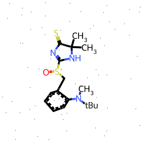 CN(c1ccccc1C[S+]([O-])C1=NC(=S)C(C)(C)N1)C(C)(C)C